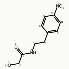 O=C(CO)NCCc1ccc([N+](=O)[O-])cc1